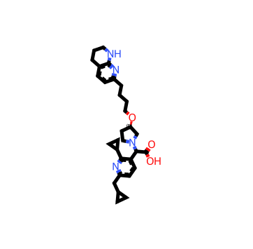 O=C(O)C(c1ccc(CC2CC2)nc1C1CC1)N1CC[C@@H](OCCCCc2ccc3c(n2)NCCC3)C1